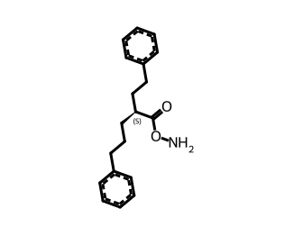 NOC(=O)[C@@H](CCCc1ccccc1)CCc1ccccc1